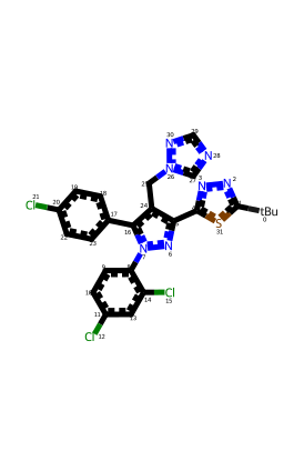 CC(C)(C)c1nnc(-c2nn(-c3ccc(Cl)cc3Cl)c(-c3ccc(Cl)cc3)c2Cn2cncn2)s1